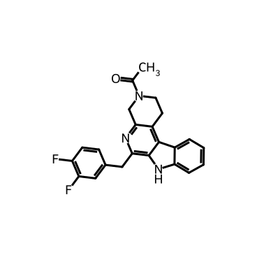 CC(=O)N1CCc2c(nc(Cc3ccc(F)c(F)c3)c3[nH]c4ccccc4c23)C1